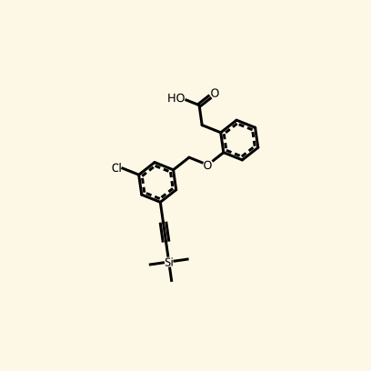 C[Si](C)(C)C#Cc1cc(Cl)cc(COc2ccccc2CC(=O)O)c1